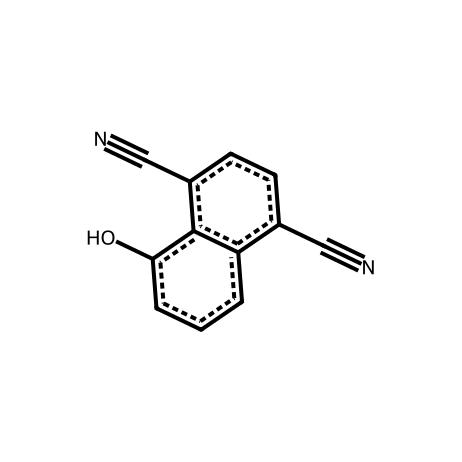 N#Cc1ccc(C#N)c2c(O)cccc12